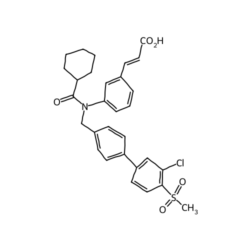 CS(=O)(=O)c1ccc(-c2ccc(CN(C(=O)C3CCCCC3)c3cccc(C=CC(=O)O)c3)cc2)cc1Cl